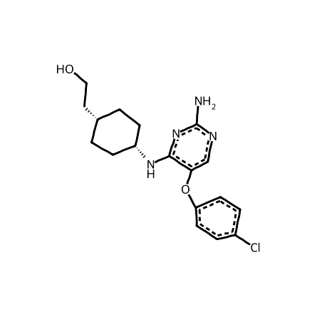 Nc1ncc(Oc2ccc(Cl)cc2)c(N[C@H]2CC[C@@H](CCO)CC2)n1